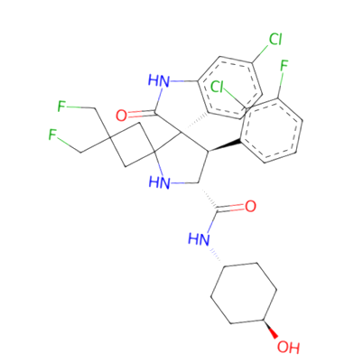 O=C(N[C@H]1CC[C@H](O)CC1)[C@@H]1NC2(CC(CF)(CF)C2)[C@@]2(C(=O)Nc3cc(Cl)ccc32)[C@H]1c1cccc(F)c1Cl